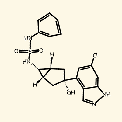 O=S(=O)(Nc1ccccc1)N[C@@H]1[C@@H]2C[C@@](O)(c3cc(Cl)cc4[nH]ncc34)C[C@@H]21